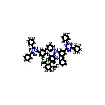 N#Cc1c(-n2c3ccccc3c3cc(-c4nc(-c5ccccc5)nc(-c5ccccc5)n4)ccc32)cc(-c2c(C(F)(F)F)cccc2C(F)(F)F)cc1-n1c2ccccc2c2cc(-c3nc(-c4ccccc4)nc(-c4ccccc4)n3)ccc21